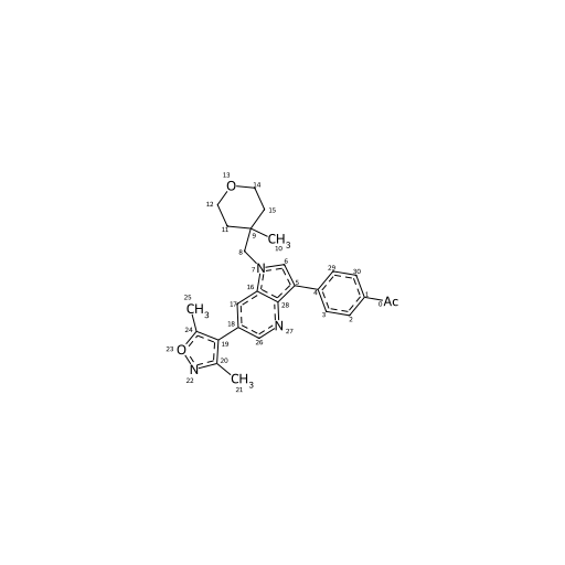 CC(=O)c1ccc(-c2cn(CC3(C)CCOCC3)c3cc(-c4c(C)noc4C)cnc23)cc1